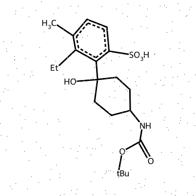 CCc1c(C)ccc(S(=O)(=O)O)c1C1(O)CCC(NC(=O)OC(C)(C)C)CC1